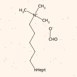 CCCCCCCCCCCC[N+](C)(C)C.O=C[O-]